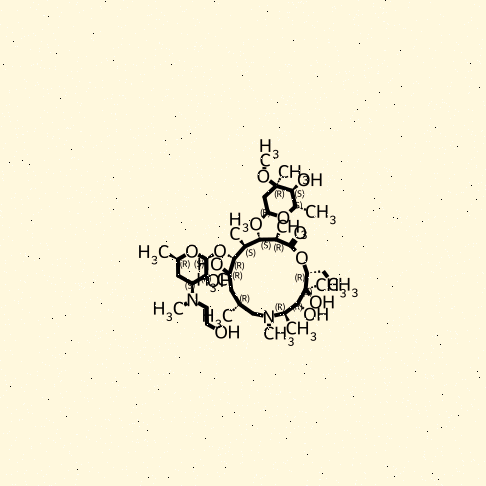 CC[C@H]1OC(=O)[C@H](C)[C@@H](O[C@H]2C[C@@](C)(OC)[C@@H](O)[C@H](C)O2)[C@H](C)[C@@H](O[C@@H]2O[C@H](C)C[C@H](N(C)CCO)[C@H]2O)[C@](C)(O)C[C@@H](C)CN(C)[C@H](C)[C@@H](O)[C@]1(C)O